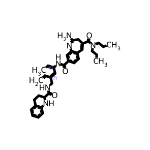 C=C/C(=C\C(=C/C)NC(=O)c1ccc2c(c1)N=C(N)CC(C(=O)N(CCC)CCC)=C2)CNC(=O)C1CCc2ccccc2N1